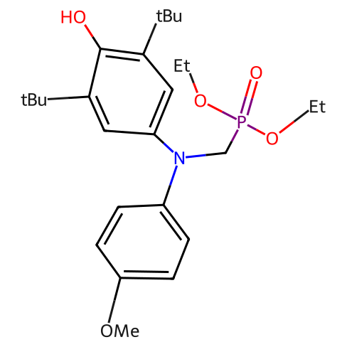 CCOP(=O)(CN(c1ccc(OC)cc1)c1cc(C(C)(C)C)c(O)c(C(C)(C)C)c1)OCC